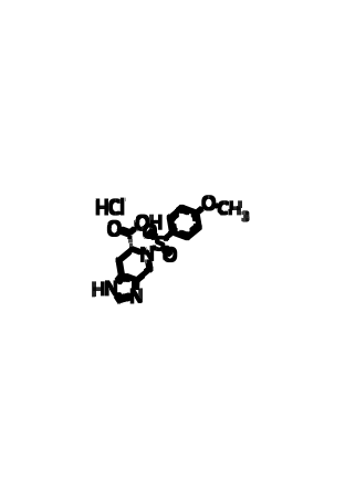 COc1ccc(S(=O)(=O)N2Cc3nc[nH]c3C[C@@H]2C(=O)O)cc1.Cl